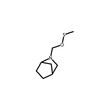 CSOCN1CC2CCC1C2